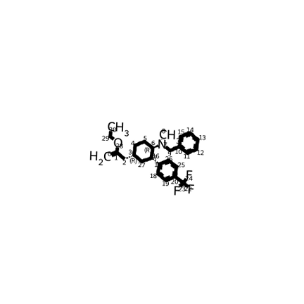 C=C(C[C@@H]1CC[C@@H](N(C)Cc2ccccc2)[C@H](c2ccc(C(F)(F)F)cc2)C1)OCC